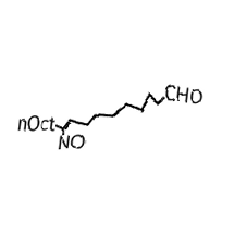 CCCCCCCC/C(=C/CCCCCCCC=O)N=O